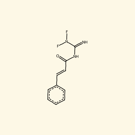 N=C(NC(=O)C=Cc1ccccc1)N(F)F